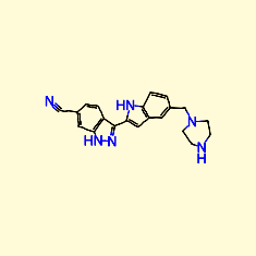 N#Cc1ccc2c(-c3cc4cc(CN5CCNCC5)ccc4[nH]3)n[nH]c2c1